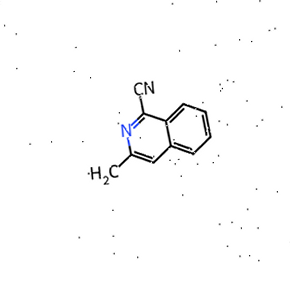 [CH2]c1cc2ccccc2c(C#N)n1